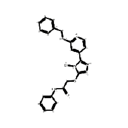 CCn1c(SCC(=O)Nc2ccccc2)nnc1-c1ccnc(NCc2ccccc2)c1